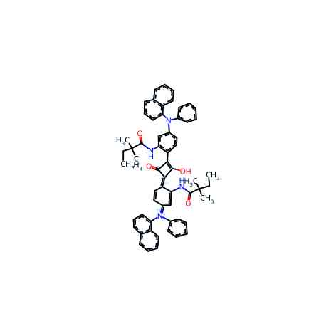 CCC(C)(C)C(=O)NC1=CC(=[N+](\c2ccccc2)c2cccc3ccccc23)/C=CC/1=C1\C(=O)C(c2ccc(N(c3ccccc3)c3cccc4ccccc34)cc2NC(=O)C(C)(C)CC)=C1O